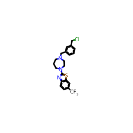 FC(F)(F)c1ccc2nc(N3CCCN(Cc4cccc(CCl)c4)CC3)sc2c1